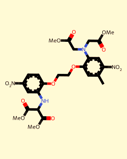 COC(=O)CN(CC(=O)OC)c1cc([N+](=O)[O-])c(C)cc1OCCOc1ccc([N+](=O)[O-])cc1NC(C(=O)OC)C(=O)OC